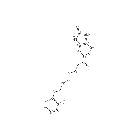 O=C(CCCCNCCc1ccccc1Cl)c1ccc2[nH]c(=O)[nH]c2c1